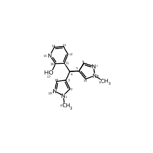 Cn1cc(C(c2cnn(C)c2)c2cccnc2O)cn1